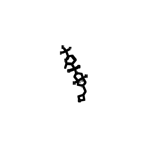 Cc1nc(C(F)(F)F)ccc1S(=O)(=O)N1C[C@H]2CN(CC3COC3)C[C@@H]2C1